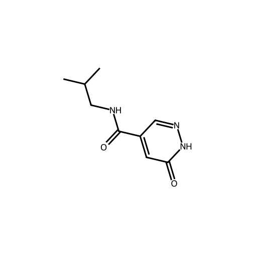 CC(C)CNC(=O)c1cn[nH]c(=O)c1